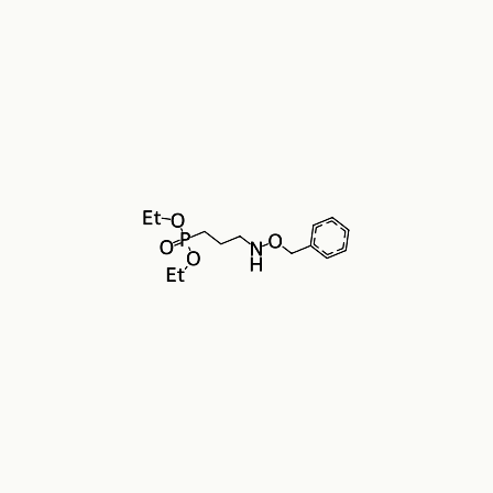 CCOP(=O)(CCCNOCc1ccccc1)OCC